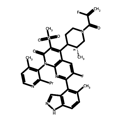 C=C(F)C(=O)N1CCC(c2c(S(C)(=O)=O)c(=O)n(-c3c(C)ccnc3C(C)C)c3nc(-c4c(C)ccc5[nH]ncc45)c(F)cc23)[C@@H](C)C1